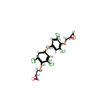 Clc1cc(Sc2cc(Cl)c(SCC3CO3)c(Cl)c2)cc(Cl)c1SCC1CO1